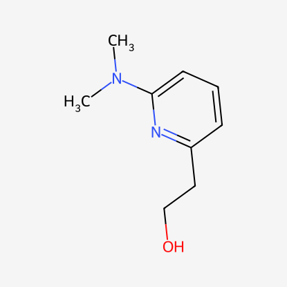 CN(C)c1cccc(CCO)n1